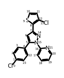 Clc1ccc(-c2cc(-c3sccc3Cl)nn2-c2ccccn2)cc1